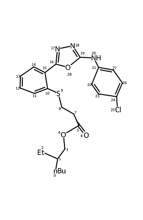 CCCCC(CC)COC(=O)CCSc1ccccc1-c1nnc(Nc2ccc(Cl)cc2)o1